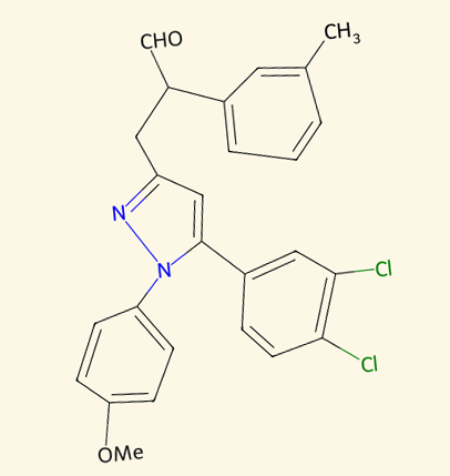 COc1ccc(-n2nc(CC(C=O)c3cccc(C)c3)cc2-c2ccc(Cl)c(Cl)c2)cc1